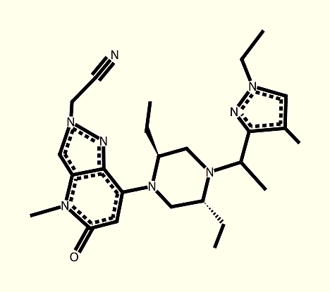 CC[C@H]1CN(C(C)c2nn(CC)cc2C)[C@H](CC)CN1c1cc(=O)n(C)c2cn(CC#N)nc12